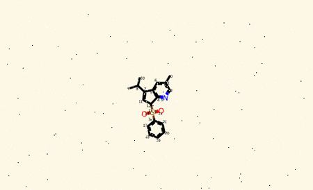 Cc1cnc2c(c1)C(C(C)C)=CC2S(=O)(=O)c1ccccc1